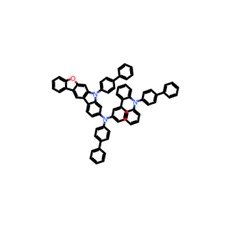 c1ccc(-c2ccc(N(c3cccc(-c4ccccc4N(c4ccccc4)c4ccc(-c5ccccc5)cc4)c3)c3ccc4c5cc6c(cc5n(-c5ccc(-c7ccccc7)cc5)c4c3)oc3ccccc36)cc2)cc1